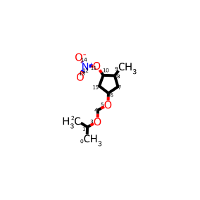 CC(C)OCOC1CC(C)C(O[N+](=O)[O-])C1